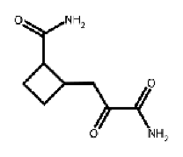 NC(=O)C(=O)CC1CCC1C(N)=O